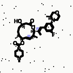 C/C(=C\c1cc(F)cc(N2CCOC[C@@H]2C)c1)[C@H]1OC(=O)C[C@@H](O)CC[C@@H](C)[C@@H](OC(=O)N2CCN(C)CC2)/C=C/[C@@H]1C